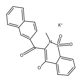 CN1C(C(=O)c2ccc3ccccc3c2)=C([O-])c2ccccc2S1(=O)=O.[K+]